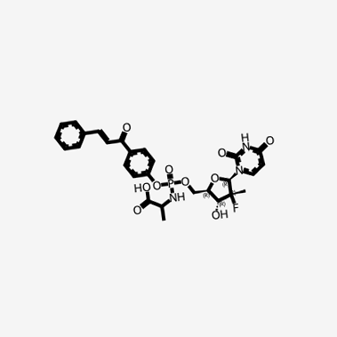 CC(NP(=O)(OC[C@H]1O[C@@H](n2ccc(=O)[nH]c2=O)[C@](C)(F)[C@@H]1O)Oc1ccc(C(=O)C=Cc2ccccc2)cc1)C(=O)O